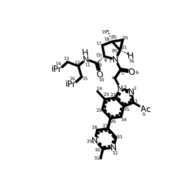 CC(=O)c1nn(CC(=O)N2[C@H](C(=O)NC(CC(C)C)CC(C)C)C[C@@]3(C)C[C@@H]23)c2c(C)cc(-c3cnc(C)nc3)cc12